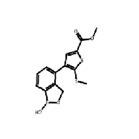 COC(=O)c1cc(-c2cccc3c2COB3O)c(SC)s1